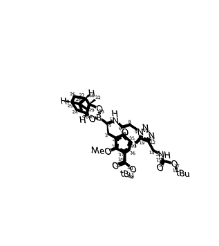 COc1c(C[C@H](NC(=O)Cn2nnc(CNC(=O)OC(C)(C)C)c2I)B2O[C@@H]3C[C@@H]4C[C@@H](C4(C)C)[C@]3(C)O2)cccc1C(=O)OC(C)(C)C